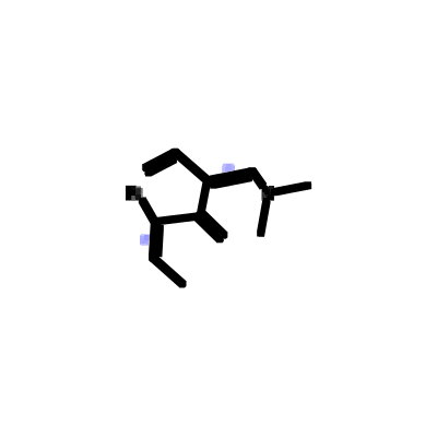 C=C/C(=C/N(C)C)C(=C)/C(=C\C)CC